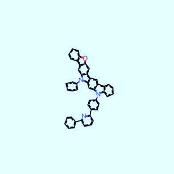 c1ccc(-c2cccc(-c3ccc(-n4c5ccccc5c5cc6c7cc8oc9ccccc9c8cc7n(-c7ccccc7)c6cc54)cc3)n2)cc1